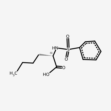 CCCC[C@H](NS(=O)(=O)c1ccccc1)C(=O)O